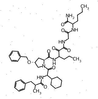 CCCCC(NC(=O)CNC(=O)C(=O)C(CCC)NC(=O)[C@@H]1C[C@@H](OCc2ccccc2)CN1C(=O)C(NC(=O)C(C)Cc1ccccc1)C1CCCCC1)C(N)=O